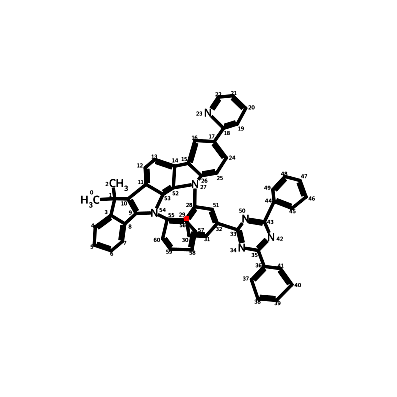 CC1(C)c2ccccc2-c2c1c1ccc3c4cc(-c5ccccn5)ccc4n(-c4cccc(-c5nc(-c6ccccc6)nc(-c6ccccc6)n5)c4)c3c1n2-c1ccccc1